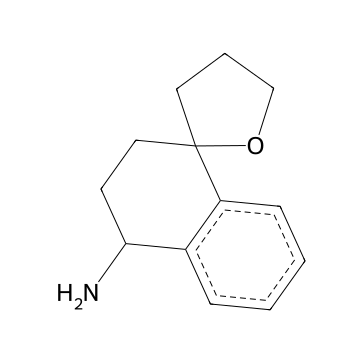 NC1CCC2(CCCO2)c2ccccc21